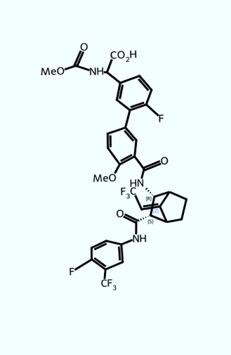 COC(=O)NC(C(=O)O)c1ccc(F)c(-c2ccc(OC)c(C(=O)N[C@@H]3C4CCC(/C4=C/C(F)(F)F)[C@@H]3C(=O)Nc3ccc(F)c(C(F)(F)F)c3)c2)c1